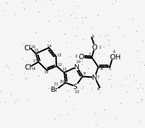 COC(=O)C(=CO)N(C)c1nc(-c2ccc(Cl)c(Cl)c2)c(Br)s1